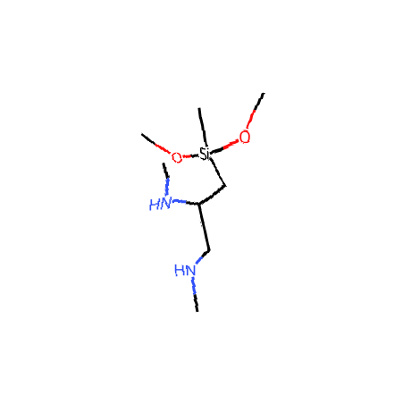 CNCC(C[Si](C)(OC)OC)NC